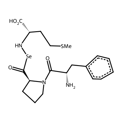 CSCC[C@H](N[Se]C(=O)[C@@H]1CCCN1C(=O)[C@@H](N)Cc1ccccc1)C(=O)O